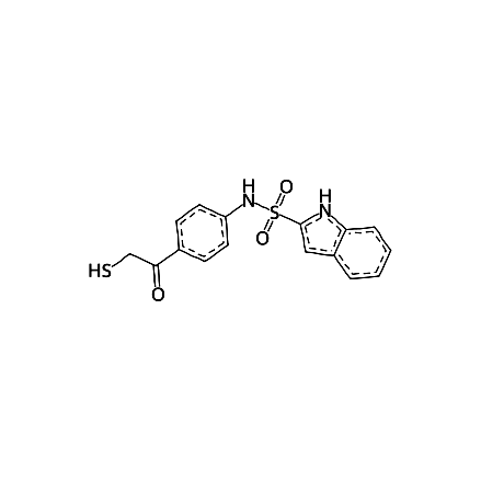 O=C(CS)c1ccc(NS(=O)(=O)c2cc3ccccc3[nH]2)cc1